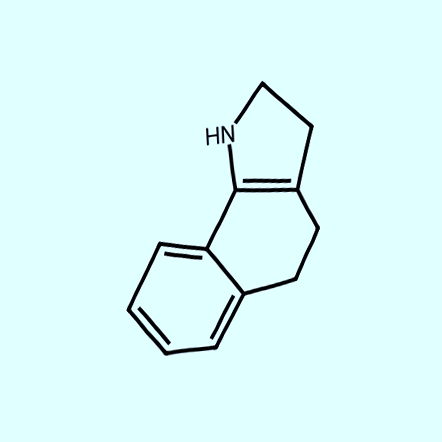 c1ccc2c(c1)CCC1=C2NCC1